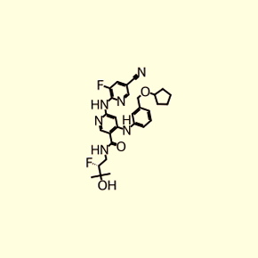 CC(C)(O)[C@H](F)CNC(=O)c1cnc(Nc2ncc(C#N)cc2F)cc1Nc1cccc(COC2CCCC2)c1